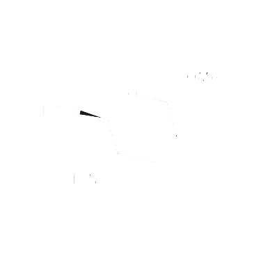 CO[C@@H]1C=C[C@H](N)[C@@H](C(=O)O)O1